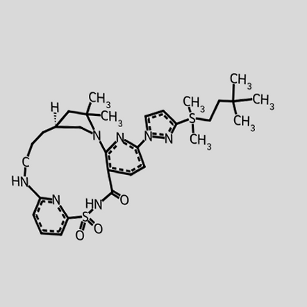 CC(C)(C)CCS(C)(C)c1ccn(-c2ccc3c(n2)N2C[C@@H](CCCNc4cccc(n4)S(=O)(=O)NC3=O)CC2(C)C)n1